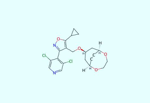 Clc1cncc(Cl)c1-c1noc(C2CC2)c1CO[C@@H]1C[C@H]2CC[C@@H](C1)OCCO2